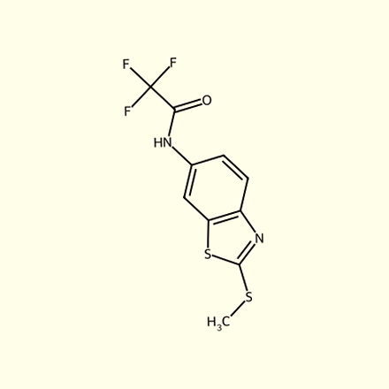 CSc1nc2ccc(NC(=O)C(F)(F)F)cc2s1